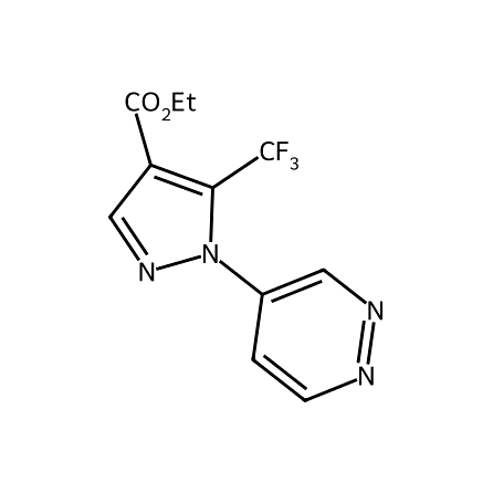 CCOC(=O)c1cnn(-c2ccnnc2)c1C(F)(F)F